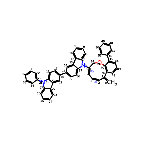 C=C1/C=C\C=C(\n2c3ccccc3c3cc(-c4ccc5c(c4)c4ccccc4n5-c4ccccc4)ccc32)COc2c1cccc2-c1ccccc1